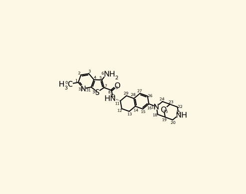 Cc1ccc2c(N)c(C(=O)N[C@H]3CCc4cc(N5CC6CNCC(C5)O6)ccc4C3)sc2n1